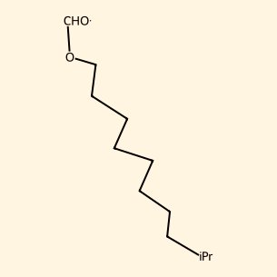 CC(C)CCCCCCCCO[C]=O